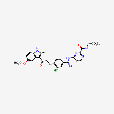 CCOC(=O)CNC(=O)c1nccc(NC(=N)c2ccc(CCC(=O)c3c(C)[nH]c4ccc(OC(=O)O)cc34)cc2)n1.Cl